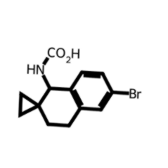 O=C(O)NC1c2ccc(Br)cc2CCC12CC2